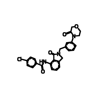 O=C(Nc1cccc2c1C(=O)N(Cc1cccc(N3CCOCC3=O)c1)C2)c1ccc(Cl)cc1